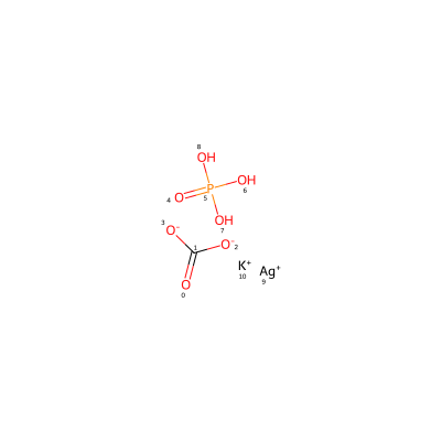 O=C([O-])[O-].O=P(O)(O)O.[Ag+].[K+]